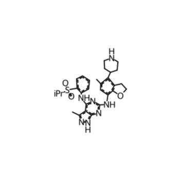 Cc1cc(Nc2nc(Nc3ccccc3S(=O)(=O)C(C)C)c3c(C)n[nH]c3n2)c2c(c1C1CCNCC1)CCO2